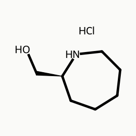 Cl.OC[C@@H]1CCCCCN1